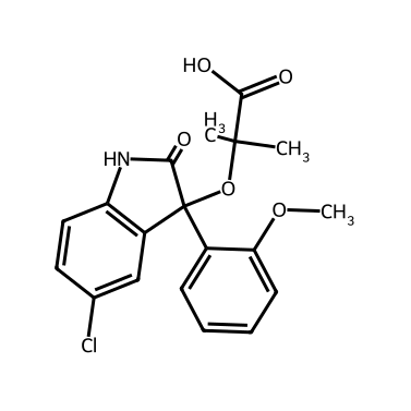 COc1ccccc1C1(OC(C)(C)C(=O)O)C(=O)Nc2ccc(Cl)cc21